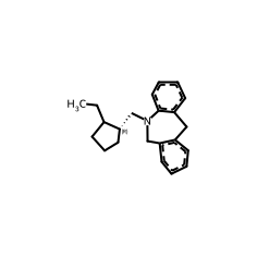 CCC1CCC[C@H]1CN1Cc2ccccc2Cc2ccccc21